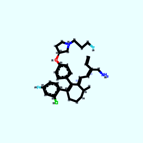 C=C/C(=C\C=C1\C(c2ccc(O[C@H]3CCN(CCCF)C3)cc2)=C(c2ccc(F)cc2Cl)CCCC1C)CN